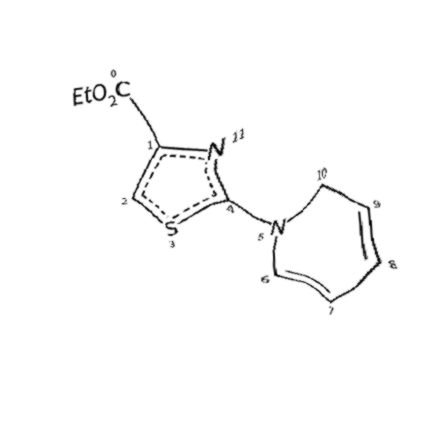 CCOC(=O)c1csc(N2C=CC=CC2)n1